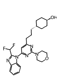 O[C@H]1CC[C@H](CCCc2cc(-n3c(C(F)F)nc4ccccc43)nc(N3CCOCC3)n2)CC1